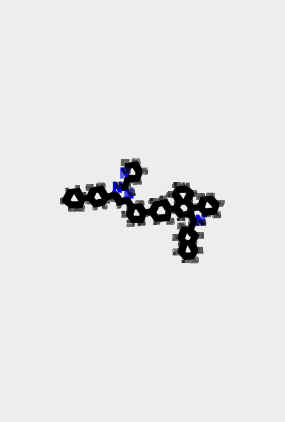 c1ccc(-c2ccc(-c3cc(-c4cccc(-c5ccc(-c6cc7c(-c8ccc9ccccc9c8)nc8ccccc8c7c7ccccc67)cc5)c4)nc(-c4ccccn4)n3)cc2)cc1